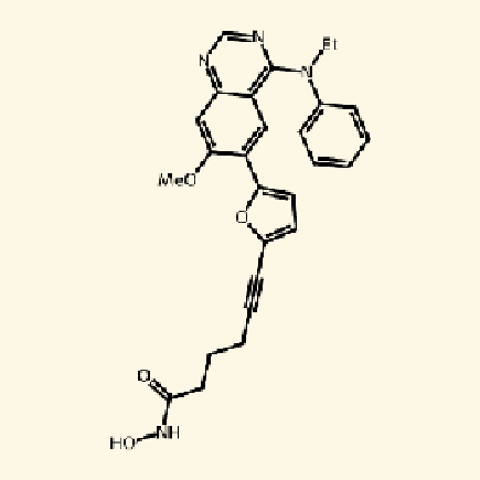 CCN(c1ccccc1)c1ncnc2cc(OC)c(-c3ccc(C#CCCCC(=O)NO)o3)cc12